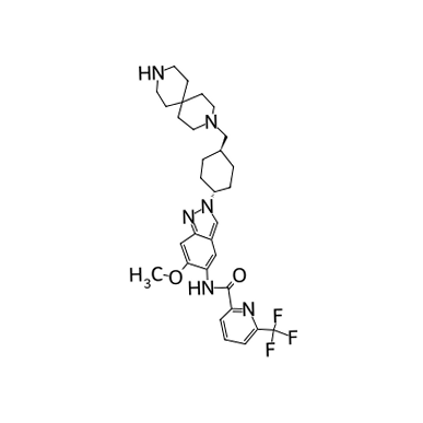 COc1cc2nn([C@H]3CC[C@H](CN4CCC5(CCNCC5)CC4)CC3)cc2cc1NC(=O)c1cccc(C(F)(F)F)n1